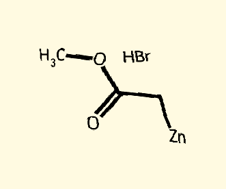 Br.COC(=O)[CH2][Zn]